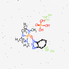 CN(C)[PH](On1nnc2ccccc21)(N(C)C)N(C)C.F.F.F.F.F.F.O=P(O)(O)O